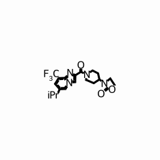 CC(C)c1cc(C(F)(F)F)c2nc(C(=O)N3CCC(N4CCOC4=O)CC3)cn2c1